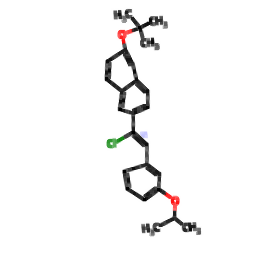 CC(C)Oc1cccc(/C=C(\Cl)c2ccc3cc(OC(C)(C)C)ccc3c2)c1